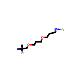 CCC(C)(I)COCCCOCCCNC(C)(C)C